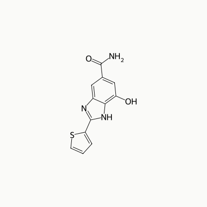 NC(=O)c1cc(O)c2[nH]c(-c3cccs3)nc2c1